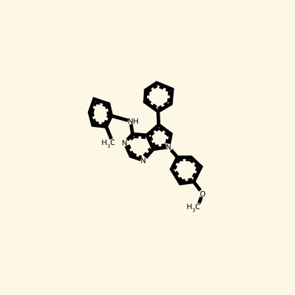 COc1ccc(-n2cc(-c3ccccc3)c3c(Nc4ccccc4C)ncnc32)cc1